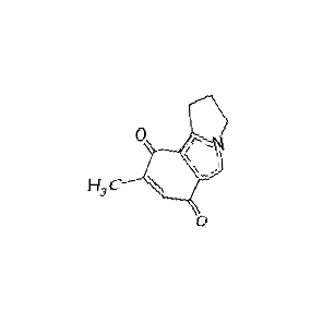 CC1=CC(=O)c2cn3c(c2C1=O)CCC3